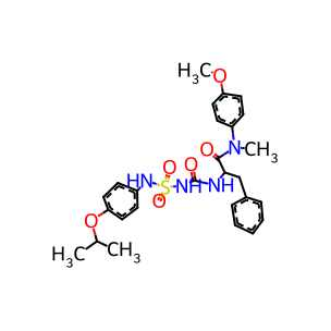 COc1ccc(N(C)C(=O)C(Cc2ccccc2)NC(=O)NS(=O)(=O)Nc2ccc(OC(C)C)cc2)cc1